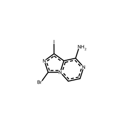 Nc1nccn2c(Br)nc(I)c12